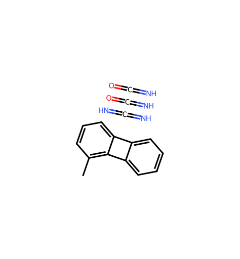 Cc1cccc2c1-c1ccccc1-2.N=C=N.N=C=O.N=C=O